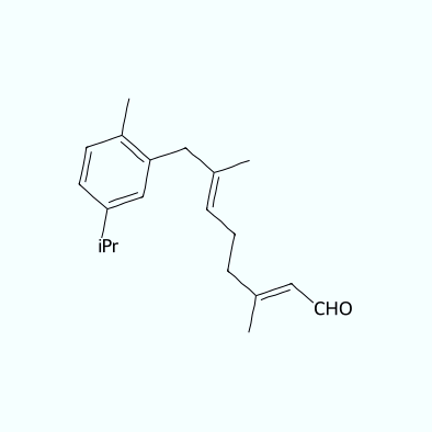 CC(=CC=O)CCC=C(C)Cc1cc(C(C)C)ccc1C